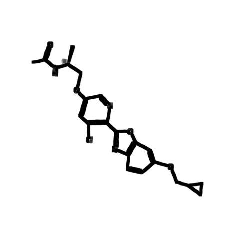 CC(=O)N[C@@H](C)COc1cnc(-c2nc3ccc(OCC4CC4)cc3o2)c(Cl)c1